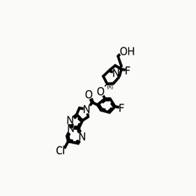 O=C(c1ccc(F)cc1O[C@@H]1CC2CC(F)C(C1)N2CCO)N1Cc2nn3cc(Cl)cnc3c2C1